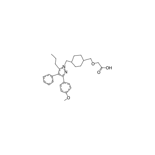 CCCc1c(-c2ccccc2)c(-c2ccc(OC)cc2)nn1CC1CCC(COCC(=O)O)CC1